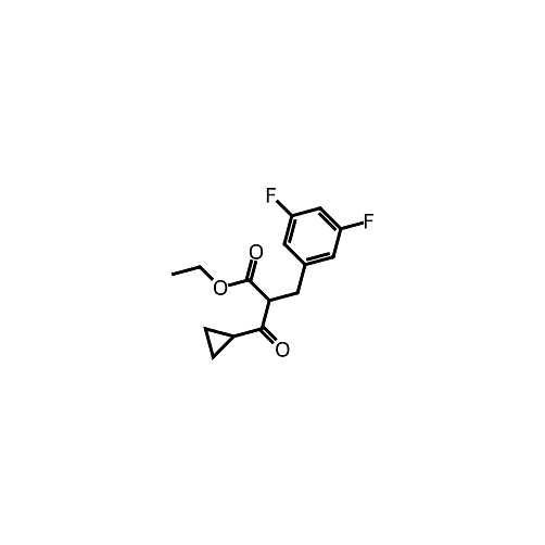 CCOC(=O)C(Cc1cc(F)cc(F)c1)C(=O)C1CC1